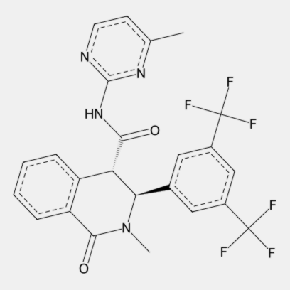 Cc1ccnc(NC(=O)[C@H]2c3ccccc3C(=O)N(C)[C@@H]2c2cc(C(F)(F)F)cc(C(F)(F)F)c2)n1